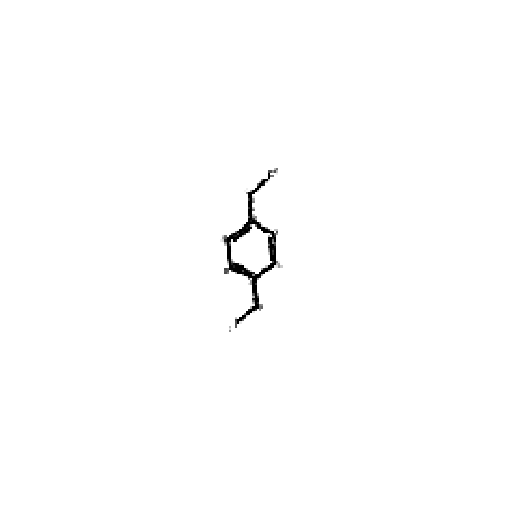 FCc1ccc(CI)cc1